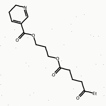 CCC(=O)CCCC(=O)OCCCOC(=O)C1=CCCN=C1